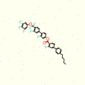 CCCCCc1ccc(-c2ccc(C(=O)Oc3ccc(-c4ccc(C(F)(F)Oc5cc(F)c(F)c(F)c5)c(F)c4)c(F)c3)c(F)c2)cc1